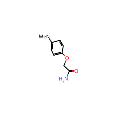 CNc1ccc(OCC(N)=O)cc1